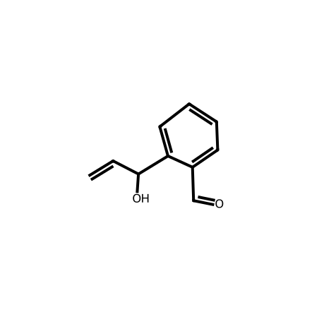 C=CC(O)c1ccccc1C=O